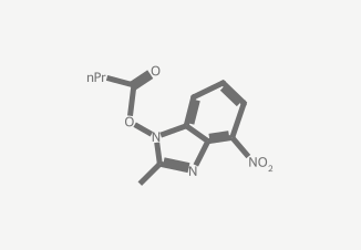 CCCC(=O)On1c(C)nc2c([N+](=O)[O-])cccc21